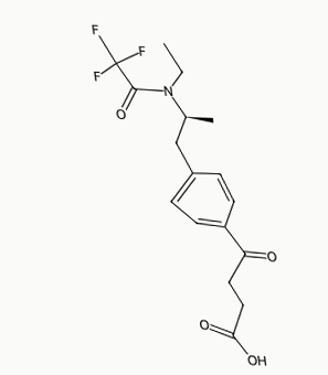 CCN(C(=O)C(F)(F)F)[C@@H](C)Cc1ccc(C(=O)CCC(=O)O)cc1